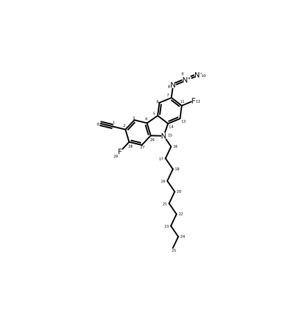 C#Cc1cc2c3cc(N=[N+]=[N-])c(F)cc3n(CCCCCCCCCC)c2cc1F